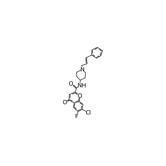 O=C(NC1CCN(CC=Cc2ccccc2)CC1)c1cc(=O)c2cc(F)c(Cl)cc2o1